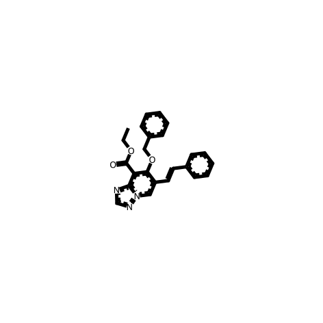 CCOC(=O)c1c(OCc2ccccc2)c(/C=C/c2ccccc2)cn2ncnc12